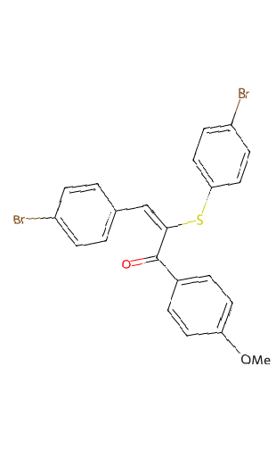 COc1ccc(C(=O)/C(=C\c2ccc(Br)cc2)Sc2ccc(Br)cc2)cc1